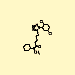 CN(C(=O)CCCSc1nnnn1C1CC(Cl)CCC1Cl)C1CCCCC1